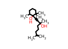 C=C(C)CCCC(C)(O)C#CC1(O)C(C)CCCC1(C)C